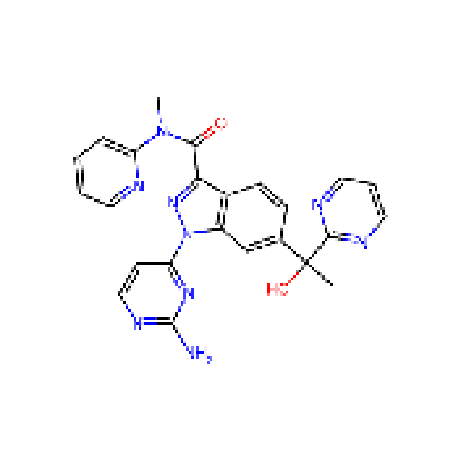 CN(C(=O)c1nn(-c2ccnc(N)n2)c2cc(C(C)(O)c3ncccn3)ccc12)c1ccccn1